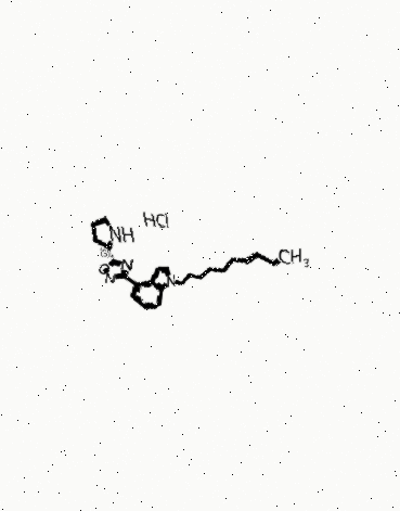 CCCCCCCCCCn1ccc2c(-c3noc([C@@H]4CCCN4)n3)cccc21.Cl